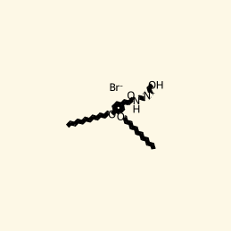 CCCCCCCCCCCCOc1ccc(C=CC(=O)NCC[N+](C)(C)CCO)cc1OCCCCCCCCCCCC.[Br-]